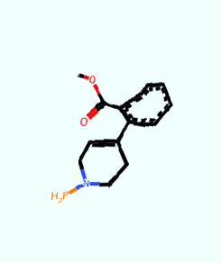 COC(=O)c1ccccc1C1=CCN(P)CC1